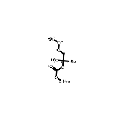 CCCCCCOC(=O)OC(C)(CCCC)COOC(C)(C)C